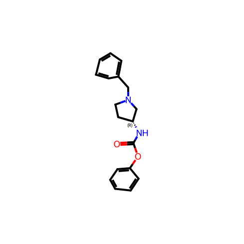 O=C(N[C@@H]1CCN(Cc2ccccc2)C1)Oc1ccccc1